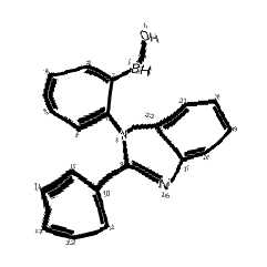 OBc1ccccc1-n1c(-c2ccccc2)nc2ccccc21